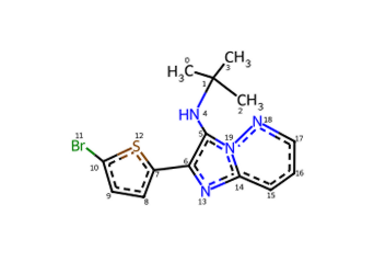 CC(C)(C)Nc1c(-c2ccc(Br)s2)nc2cccnn12